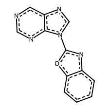 c1ccc2oc(-n3cnc4cncnc43)nc2c1